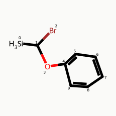 [SiH3]C(Br)Oc1ccccc1